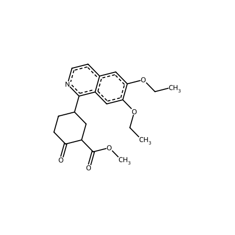 CCOc1cc2ccnc(C3CCC(=O)C(C(=O)OC)C3)c2cc1OCC